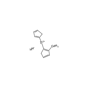 [GeH3][C]1=[C]([Zr+2][C]2=CC=CC2)CC=C1.[H-].[H-]